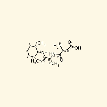 C[C@@H]1CCC[C@H](C)[C@H]1NC(=O)[C@@H](C)NC(=O)[C@@H](N)CC(=O)O